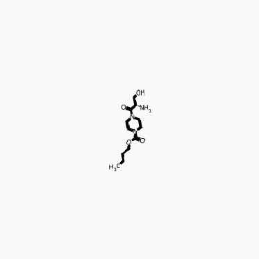 CCCCOC(=O)N1CCN(C(=O)[C@@H](N)CO)CC1